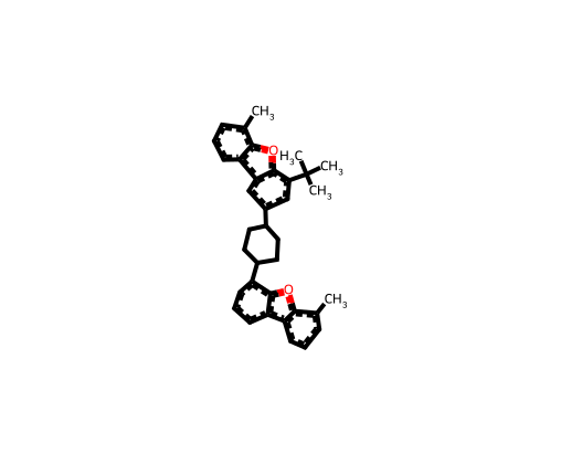 Cc1cccc2c1oc1c(C3CCC(c4cc(C(C)(C)C)c5oc6c(C)cccc6c5c4)CC3)cccc12